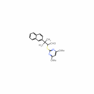 COc1cc(OC)nc(SC(C=O)C(C)(C)c2ccc3ccccc3c2)n1